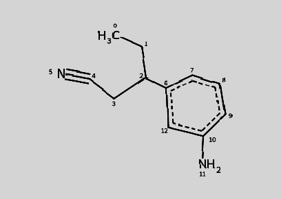 CCC(CC#N)c1cccc(N)c1